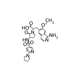 CCOc1cc2c(N)nccc2cc1CC(C(=O)O)N1CCC(NS(=O)(=O)c2cnc(N3CCCC3)s2)C1=O